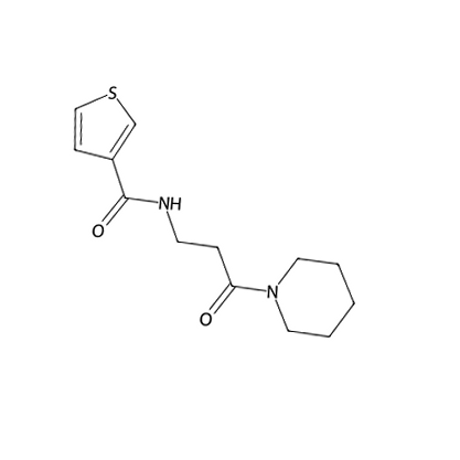 O=C(NCCC(=O)N1CCCCC1)c1ccsc1